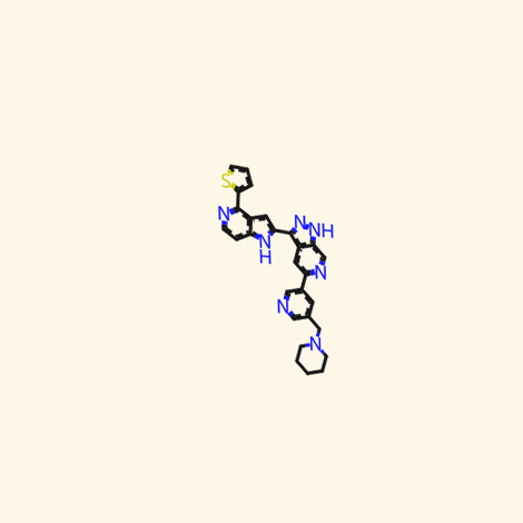 c1csc(-c2nccc3[nH]c(-c4n[nH]c5cnc(-c6cncc(CN7CCCCC7)c6)cc45)cc23)c1